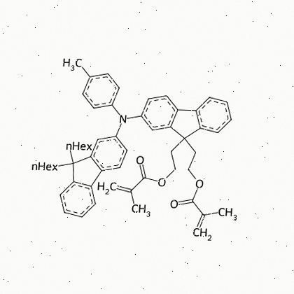 C=C(C)C(=O)OCCC1(CCOC(=O)C(=C)C)c2ccccc2-c2ccc(N(c3ccc(C)cc3)c3ccc4c(c3)C(CCCCCC)(CCCCCC)c3ccccc3-4)cc21